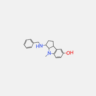 CN1c2ccc(O)cc2C2CCC(NCc3ccccc3)C21